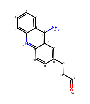 Nc1c2ccccc2nc2ccc(CCC=O)cc12